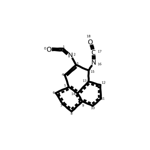 O=C=NC1=Cc2cccc3cccc(c23)C1N=C=O